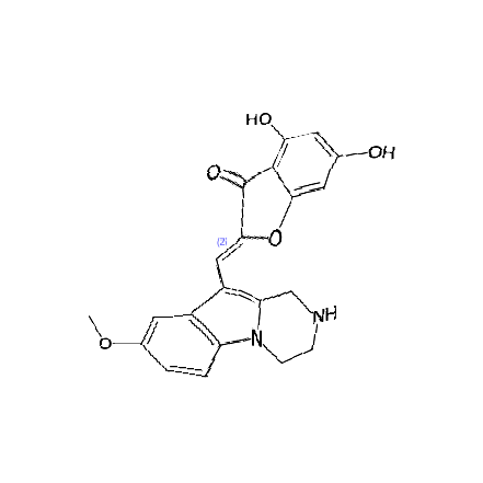 COc1ccc2c(c1)c(/C=C1\Oc3cc(O)cc(O)c3C1=O)c1n2CCNC1